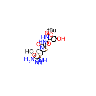 CC(C)(C)OC(=O)NC(C(=O)NC1C(=O)N2C(C(=O)O)=C(CSc3[nH]nnc3C(N)=O)CS[C@@H]12)c1ccc(O)cc1